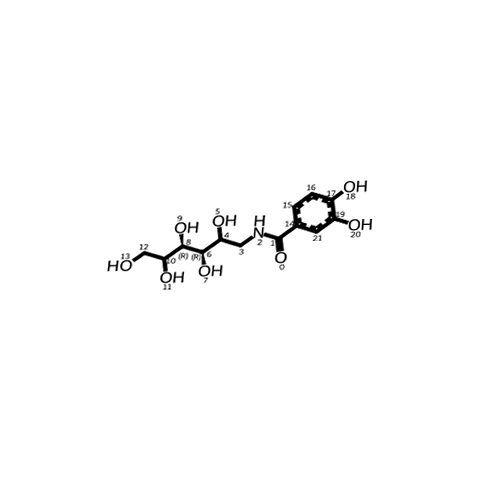 O=C(NCC(O)[C@@H](O)[C@H](O)C(O)CO)c1ccc(O)c(O)c1